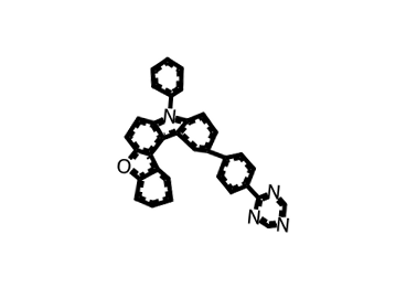 c1ccc(-n2c3ccc(-c4ccc(-c5ncncn5)cc4)cc3c3c4c(ccc32)oc2ccccc24)cc1